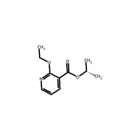 [CH2][C@@H](C)OC(=O)c1cccnc1OCC